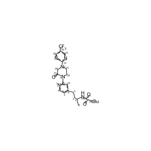 CC(CCc1ccnc(N2CCN(c3ncc(C(F)(F)F)cn3)CC2=O)c1)NS(=O)(=O)C(C)(C)C